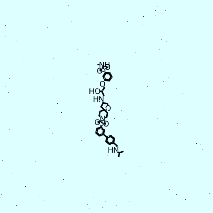 CNS(=O)(=O)c1cccc(OCC(O)CN[C@H]2COC3(CCN(S(=O)(=O)c4cccc(-c5ccc(CNC(C)C)cc5)c4)CC3)C2)c1